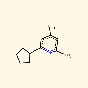 Cc1cc(C)nc(C2CCCC2)c1